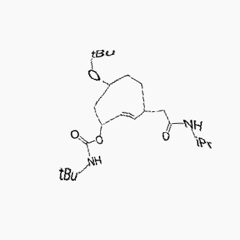 CC(C)NC(=O)CC1/C=C/C(OC(=O)NC(C)(C)C)CC(OC(C)(C)C)CC1